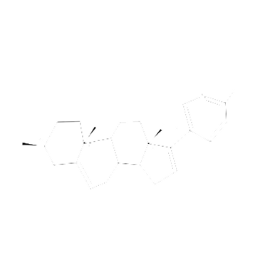 C[C@]12CC[C@H](O)CC1=CCC1C2CC[C@]2(C)C(c3ccc(F)nc3)=CCC12